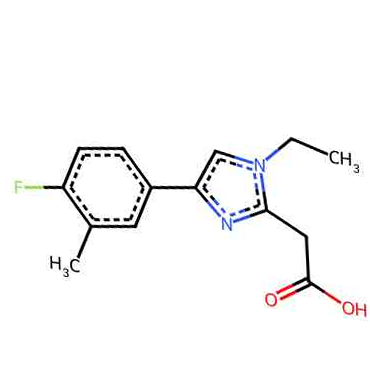 CCn1cc(-c2ccc(F)c(C)c2)nc1CC(=O)O